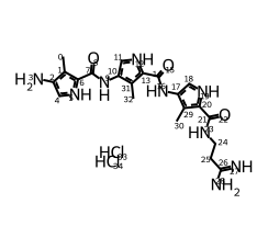 Cc1c(N)c[nH]c1C(=O)Nc1c[nH]c(C(=O)Nc2c[nH]c(C(=O)NCCC(=N)N)c2C)c1C.Cl.Cl